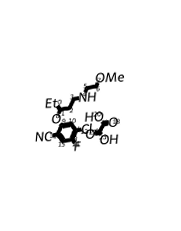 CCC(CCNCCOC)Oc1cc(Cl)c(F)cc1C#N.O=C(O)C(=O)O